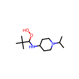 CC(C)N1CCC(NC(OO)C(C)(C)C)CC1